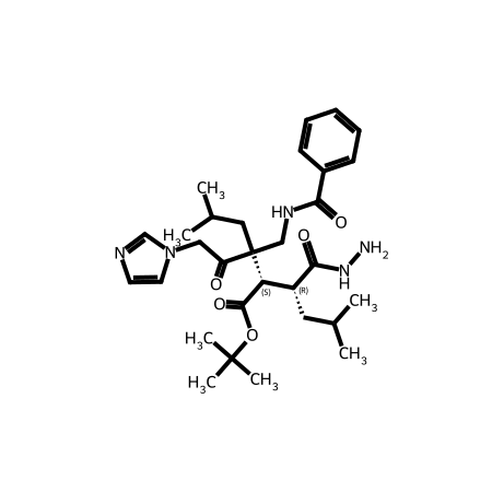 CC(C)C[C@@H](C(=O)NN)[C@H](C(=O)OC(C)(C)C)C(CNC(=O)c1ccccc1)(CC(C)C)C(=O)Cn1ccnc1